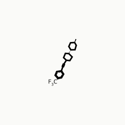 C[C@H]1CC[C@H](C2CCC(C#Cc3ccc(C(F)(F)F)cc3)CC2)CC1